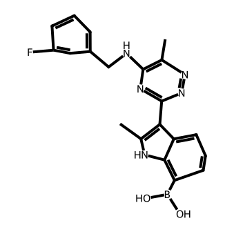 Cc1nnc(-c2c(C)[nH]c3c(B(O)O)cccc23)nc1NCc1cccc(F)c1